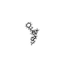 CN(C)/C=N\c1ncnn2c([C@@H]3O[C@](C)(COC(=O)OC4CCCCCCC4)[C@H]4OC(C)(C)O[C@@H]34)ccc12